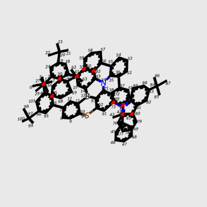 CC(C)(C)c1cc(-c2ccc3c(c2)B2c4cc(-c5cc(C(C)(C)C)cc(C(C)(C)C)c5)ccc4N(c4c(-c5ccc(C(C)(C)c6ccccc6)cc5)cccc4-c4cccc(C(C)(C)c5ccccc5)c4)c4cc(-n5c6ccccc6c6cc(C(C)(C)C)ccc65)cc(c42)S3)cc(C(C)(C)C)c1